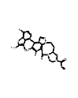 C=CC(=O)N1CCN2C(=O)c3c(F)c(F)c(-c4ccc(F)c5sc(N)c(C#N)c45)c4cnn(c34)CCC2C1